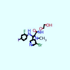 Cn1c(C(=O)NOCCO)c(Nc2ccc(I)cc2F)c2cncc(Br)c21